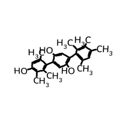 Cc1cc(C)c(-c2cc(O)c(-c3c(C)cc(O)c(C)c3C)cc2O)c(C)c1C